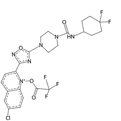 O=C(NC1CCC(F)(F)CC1)N1CCN(c2nc(-c3ccc4cc(Cl)ccc4[n+]3OC(=O)C(F)(F)F)no2)CC1